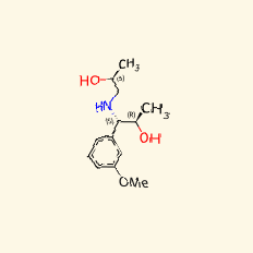 COc1cccc([C@H](NC[C@H](C)O)[C@@H](C)O)c1